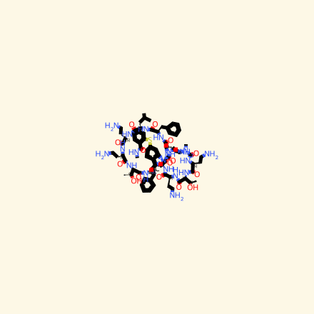 CNC(=O)c1ccccc1Sc1ccc2c(/C=C/c3ccccc3)nn(C(=O)N(C)CCN(C)C(=O)N[C@@H](CCN)C(=O)N[C@H](C(=O)N[C@@H](CCN)C(=O)N[C@H]3CCNC(=O)[C@H]([C@@H](C)O)NC(=O)[C@H](CCN)NC(=O)[C@H](CCN)NC(=O)[C@H](CC(C)C)NC(=O)[C@@H](Cc4ccccc4)NC(=O)[C@H](CCN)NC3=O)[C@@H](C)O)c2c1